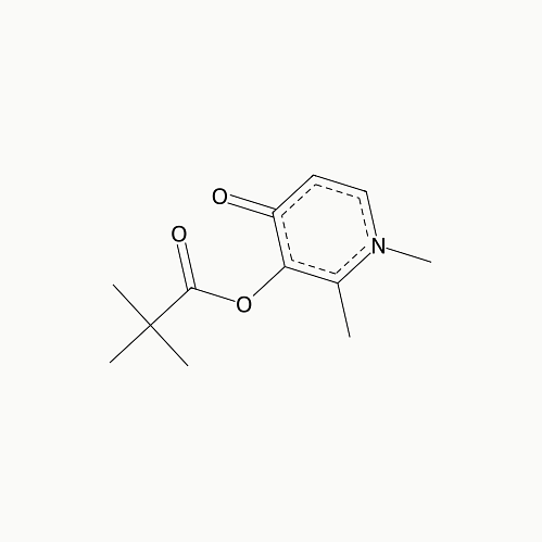 Cc1c(OC(=O)C(C)(C)C)c(=O)ccn1C